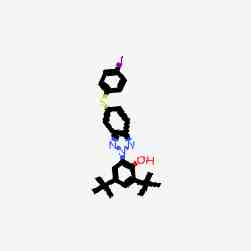 CC(C)(C)c1cc(-n2nc3ccc(Sc4ccc(I)cc4)cc3n2)c(O)c(C(C)(C)C)c1